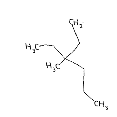 [CH2]CC(C)(CC)CCC